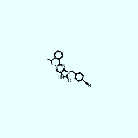 CC(C)c1ccccc1-c1ncc2[nH]c(=O)n(Cc3ccc(C#N)cc3)c2n1